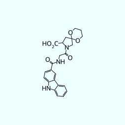 O=C(NCC(=O)N1CC2(CC1C(=O)O)OCCCO2)c1ccc2[nH]c3ccccc3c2c1